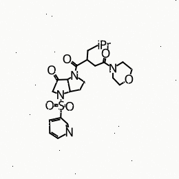 CC(C)CC(CC(=O)N1CCOCC1)C(=O)N1CCC2C1C(=O)CN2S(=O)(=O)c1cccnc1